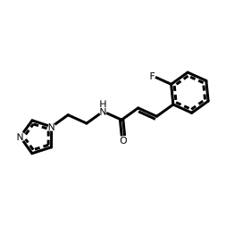 O=C(/C=C/c1ccccc1F)NCCn1ccnc1